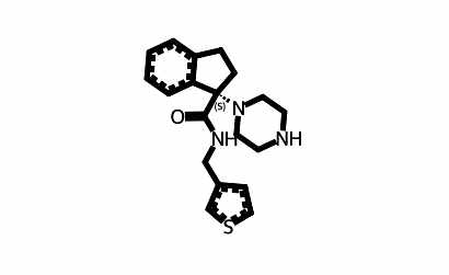 O=C(NCc1ccsc1)[C@]1(N2CCNCC2)CCc2ccccc21